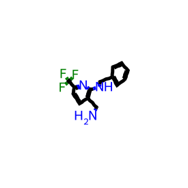 NCc1ccc(C(F)(F)F)nc1NCc1ccccc1